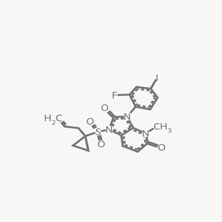 C=CCC1(S(=O)(=O)n2c(=O)n(-c3ccc(I)cc3F)c3c2ccc(=O)n3C)CC1